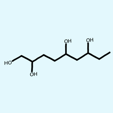 CCC(O)CC(O)CCC(O)CO